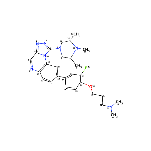 CC1CN(c2nnc3cnc4ccc(-c5ccc(OCCCN(C)C)c(F)c5)cc4n23)C[C@H](C)N1C